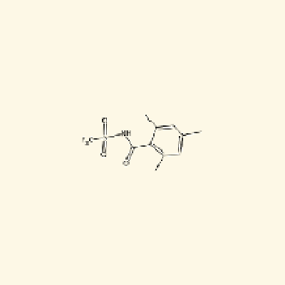 Cc1cc(C)c(C(=O)NS(=O)(=O)C(F)(F)F)c(C)c1